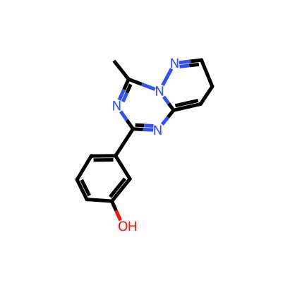 CC1=NC(c2cccc(O)c2)=NC2=CCC=NN21